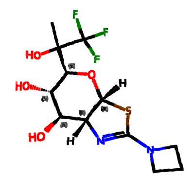 CC(O)([C@H]1O[C@@H]2SC(N3CCC3)=N[C@@H]2[C@@H](O)[C@@H]1O)C(F)(F)F